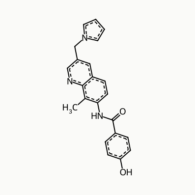 Cc1c(NC(=O)c2ccc(O)cc2)ccc2cc(Cn3cccc3)cnc12